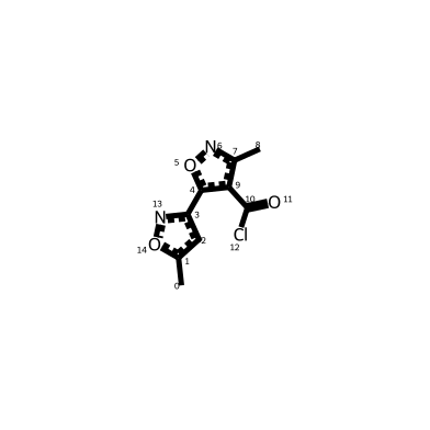 Cc1cc(-c2onc(C)c2C(=O)Cl)no1